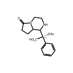 CC(=O)O[C@@](C(=O)O)(c1ccccc1)C1NCCN2C(=O)CCC12